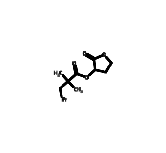 CC(C)CC(C)(C)C(=O)OC1CCOC1=O